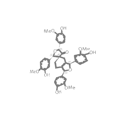 COc1ccc([C@@H]2O[C@H](c3ccc(O)c(OC)c3)C(=O)[C@@]23CCC2=C(C3)[C@@H](c3ccc(O)c(OC)c3)O[C@H]2c2ccc(O)c(OC)c2)cc1O